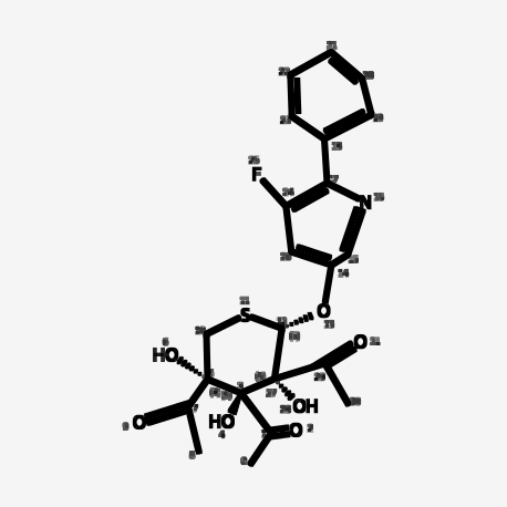 CC(=O)[C@]1(O)[C@@](O)(C(C)=O)CS[C@H](Oc2cnc(-c3ccccc3)c(F)c2)[C@@]1(O)C(C)=O